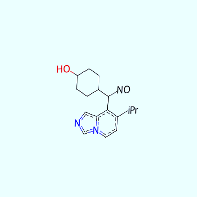 CC(C)c1ccn2cncc2c1C(N=O)C1CCC(O)CC1